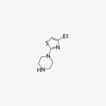 CCc1csc(N2CCNCC2)n1